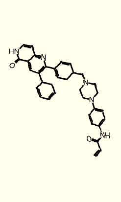 C=CC(=O)Nc1ccc(N2CCN(CC3C=CC(c4nc5cc[nH]c(=O)c5cc4C4C=CC=CC4)=CC3)CC2)cc1